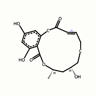 C[C@H]1C[C@@H](O)CCC/C=C/C(=O)Cc2cc(O)cc(O)c2C(=O)O1